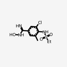 CCS(=O)(=O)Nc1c(C)cc(C(=N)NO)cc1Cl